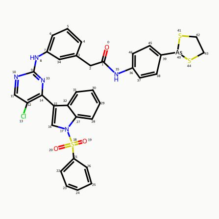 O=C(Cc1cccc(Nc2ncc(Cl)c(-c3cn(S(=O)(=O)c4ccccc4)c4ccccc34)n2)c1)Nc1ccc([As]2SCCS2)cc1